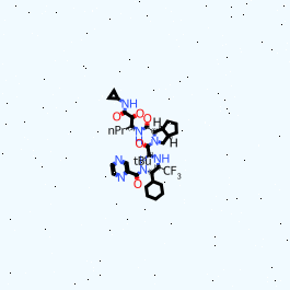 CCC[C@H](NC(=O)[C@@H]1[C@H]2CCC[C@H]2CN1C(=O)[C@@H](N[C@@H]([C@@H](NC(=O)c1cnccn1)C1CCCCC1)C(F)(F)F)C(C)(C)C)C(=O)C(=O)NC1CC1